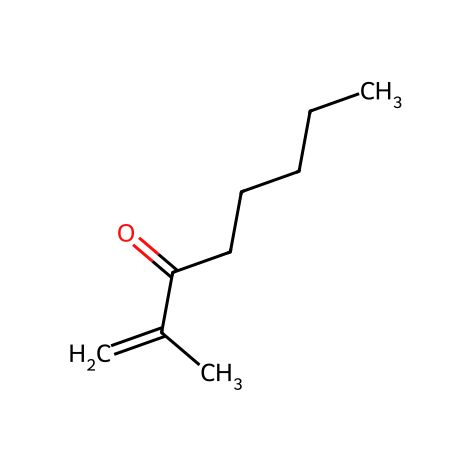 C=C(C)C(=O)CCCCC